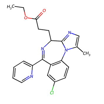 CCOC(=O)CCC1N=C(c2ccccn2)c2cc(Cl)ccc2-n2c(C)cnc21